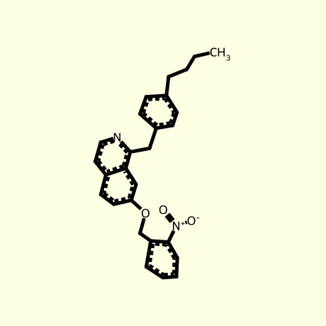 CCCCc1ccc(Cc2nccc3ccc(OCc4ccccc4[N+](=O)[O-])cc23)cc1